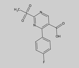 CS(=O)(=O)c1ncc(C(=O)O)c(-c2ccc(F)cc2)n1